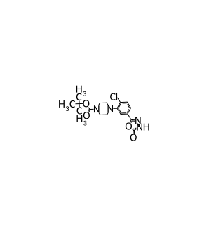 CC(C)(C)OC(=O)N1CCN(c2cc(-c3n[nH]c(=O)o3)ccc2Cl)CC1